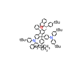 CC(C)(C)c1ccc([C@H](Cc2cc3c(c4c2oc2ccccc24)-c2ccc(N(c4ccc(C(C)(C)C)cc4)c4cccc5ccccc45)cc2C3(c2ccc(N(c3ccc(C(C)(C)C)cc3)c3ccc(C(C)(C)C)cc3)cc2)c2ccc([Si](C)(C)C)cc2)c2cccc3ccccc23)cc1